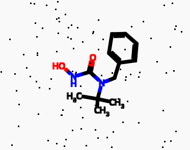 CC(C)(C)N(Cc1ccccc1)C(=O)NO